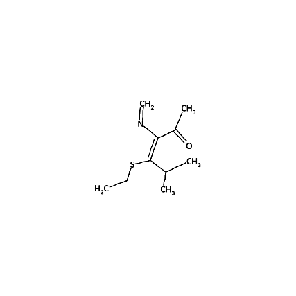 C=N/C(C(C)=O)=C(\SCC)C(C)C